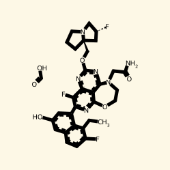 CCc1c(F)ccc2cc(O)cc(-c3nc4c5c(nc(OC[C@@]67CCCN6C[C@H](F)C7)nc5c3F)N(CC(N)=O)CCO4)c12.O=CO